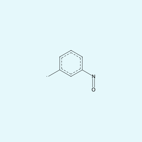 [CH2]c1cccc(N=O)c1